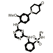 COc1cc(N2CCC(=O)CC2)ccc1Nc1ncnc(Nc2ccccc2S(=O)(=O)NC(C)C)n1